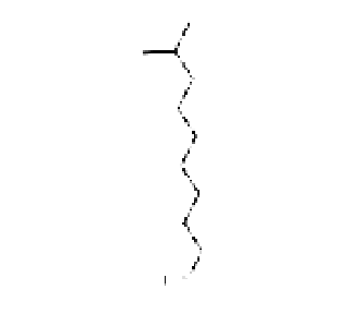 CC(C)CCCCCC[CH]N